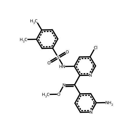 CO/N=C(\c1ccnc(N)c1)c1ncc(Cl)cc1NS(=O)(=O)c1ccc(C)c(C)c1